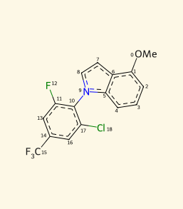 COc1cccc2c1ccn2-c1c(F)cc(C(F)(F)F)cc1Cl